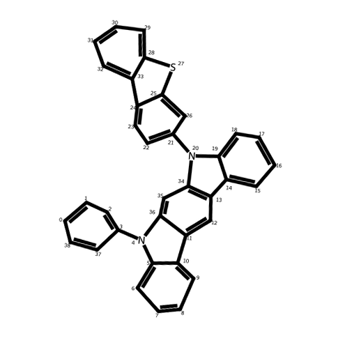 c1ccc(-n2c3ccccc3c3cc4c5ccccc5n(-c5ccc6c(c5)sc5ccccc56)c4cc32)cc1